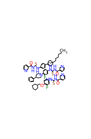 CCCCCCC12CCC(c3ccc(NC(=S)NC(=O)c4cccnc4)cc3)(CC1)CC2.O=C(NC(=S)Nc1ccc(N2CCC(c3ccccc3)CC2)c(F)c1)c1cccnc1.O=C(NC(=S)Nc1ccc(OCC2CCCCC2)c(F)c1)c1cccnc1